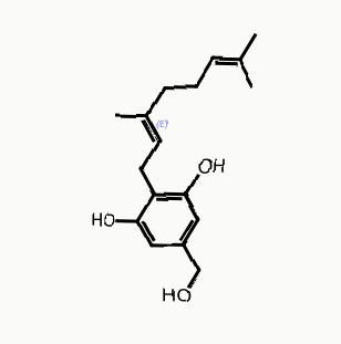 CC(C)=CCC/C(C)=C/Cc1c(O)cc(CO)cc1O